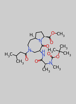 COC(=O)[C@@H]1CC[C@@H]2CCN(C(=O)CC(C)C)C[C@H](NC(=O)[C@H](C)N(C)C(=O)OC(C)(C)C)C(=O)N21